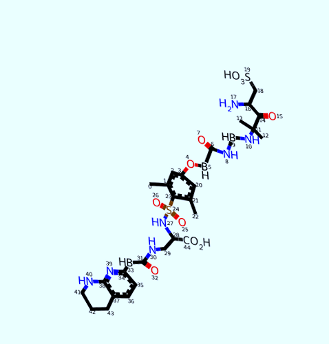 Cc1cc(OBC(=O)NBNC(C)(C)C(=O)C(N)CS(=O)(=O)O)cc(C)c1S(=O)(=O)NC(CNC(=O)Bc1ccc2c(n1)NCCC2)C(=O)O